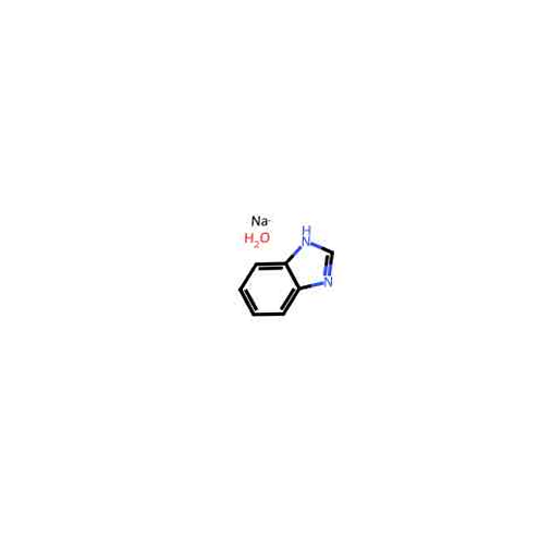 O.[Na].c1ccc2[nH]cnc2c1